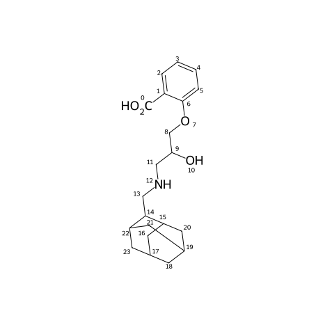 O=C(O)c1ccccc1OCC(O)CNCC1C2CC3CC(C2)CC1C3